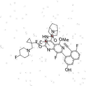 C#Cc1c(F)ccc2cc(O)cc(-c3nc(OC)c4c(N5CC6CCC(C5)N6C(=O)NC(C)C(F)(F)F)nc(OCC5(CN6CCC(F)CC6)CC5)nc4c3F)c12